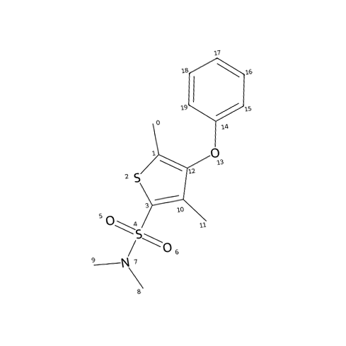 Cc1sc(S(=O)(=O)N(C)C)c(C)c1Oc1ccccc1